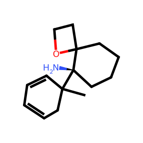 CC1([C@@]2(N)CCCCC23CCO3)C=CC=CC1